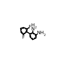 Nc1cccc(-c2c(F)cccc2F)c1N